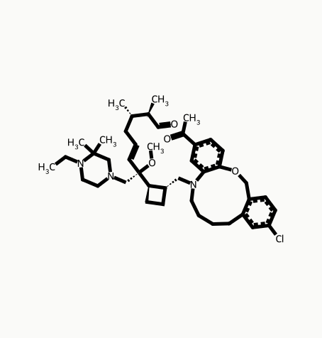 CCN1CCN(C[C@](/C=C/C[C@H](C)[C@@H](C)C=O)(OC)[C@@H]2CC[C@H]2CN2CCCCc3cc(Cl)ccc3COc3ccc(C(C)=O)cc32)CC1(C)C